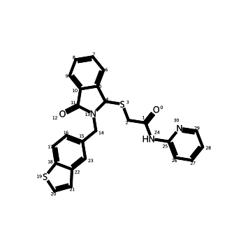 O=C(CSC1c2ccccc2C(=O)N1Cc1ccc2sccc2c1)Nc1ccccn1